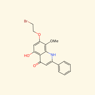 COc1c(OCCBr)cc(O)c2c(=O)cc(-c3ccccc3)[nH]c12